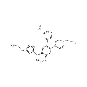 Cl.Cl.NCCc1nc(-c2nccc3nc(-c4ccc(CN)cc4)c(-c4ccccc4)cc23)no1